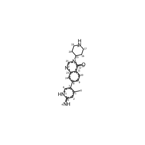 Cc1cc(=N)[nH]cc1-c1ccc2c(=O)n(C3CCNCC3)cnc2c1